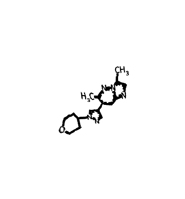 Cc1nn2c(C)cnc2cc1-c1cnn(C2CCOCC2)c1